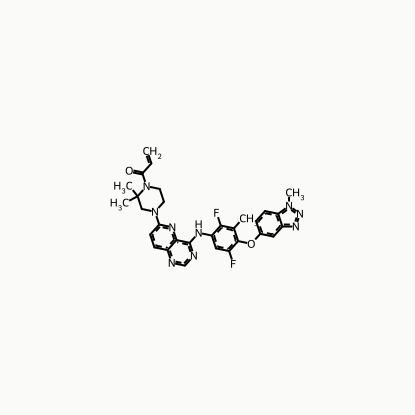 C=CC(=O)N1CCN(c2ccc3ncnc(Nc4cc(F)c(Oc5ccc6c(c5)nnn6C)c(C)c4F)c3n2)CC1(C)C